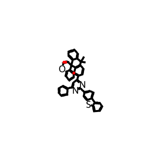 CC1(C)c2ccccc2C2(c3ccccc3Oc3ccccc32)c2cc(-c3cc(-c4ccccc4)nc(-c4ccc5c(c4)sc4ccccc45)n3)ccc21